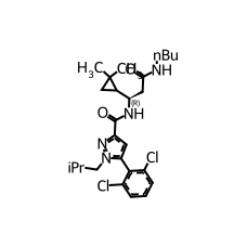 CCCCNC(=O)C[C@@H](NC(=O)c1cc(-c2c(Cl)cccc2Cl)n(CC(C)C)n1)C1CC1(C)C